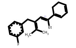 CC/C(=C\C(Cc1cccc(F)c1)=C(C)C)C1=CC=CCC1